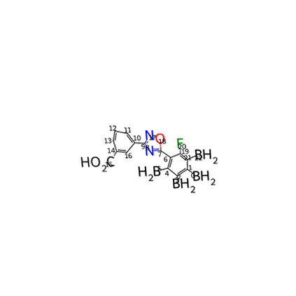 Bc1c(B)c(B)c(-c2nc(-c3cccc(C(=O)O)c3)no2)c(F)c1B